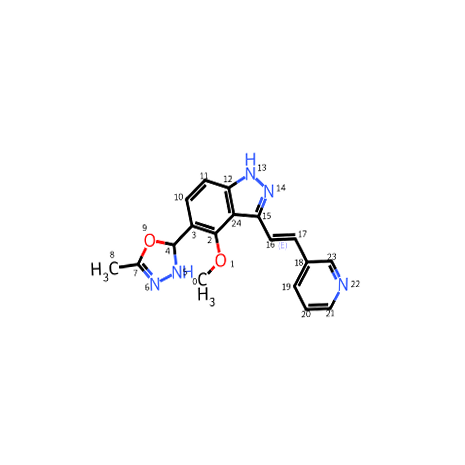 COc1c(C2NN=C(C)O2)ccc2[nH]nc(/C=C/c3cccnc3)c12